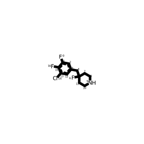 Fc1cc(CC2(F)CCNCC2)cc(Cl)c1F